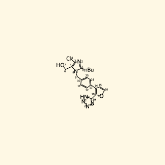 CCCCc1nc(Cl)c(CO)n1Cc1ccc(-c2ccoc2-c2nnn[nH]2)cc1